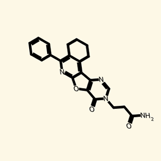 NC(=O)CCn1cnc2c(oc3nc(-c4ccccc4)c4c(c32)CCCC4)c1=O